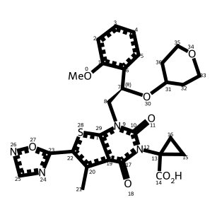 COc1ccccc1[C@H](Cn1c(=O)n(C2(C(=O)O)CC2)c(=O)c2c(C)c(-c3ncno3)sc21)OC1CCOCC1